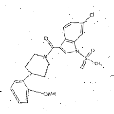 COc1ccccc1C1CCN(C(=O)c2cn(S(C)(=O)=O)c3cc(Cl)ccc23)CC1